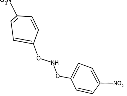 O=[N+]([O-])c1ccc(ONOc2ccc([N+](=O)[O-])cc2)cc1